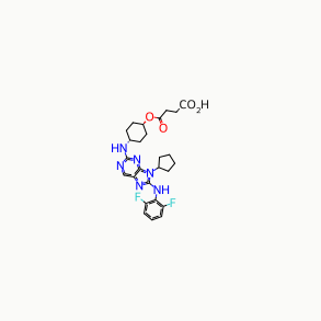 O=C(O)CCC(=O)O[C@H]1CC[C@H](Nc2ncc3nc(Nc4c(F)cccc4F)n(C4CCCC4)c3n2)CC1